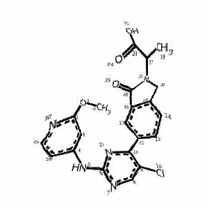 COc1cc(Nc2ncc(Cl)c(-c3ccc4c(c3)C(=O)N(C(C)C(=O)O)C4)n2)ccn1